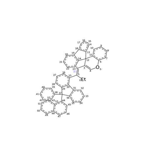 CC/C(=C\C1=COc2ccccc2C12c1ccccc1-c1ccccc12)c1cccc2c1-c1ccccc1C2(c1ccccc1)c1cccc2ccccc12